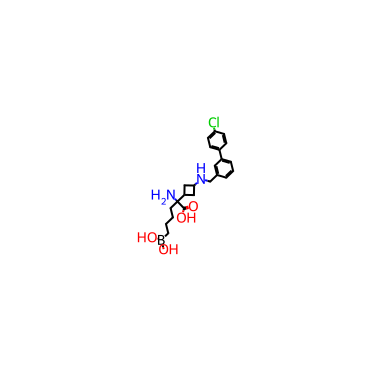 NC(CCCCB(O)O)(C(=O)O)C1CC(NCc2cccc(-c3ccc(Cl)cc3)c2)C1